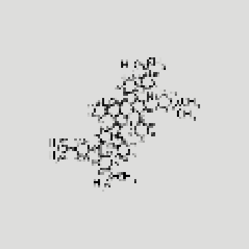 CC(C)c1ccc(N(c2ccc(C(C)C)cc2)c2ccc3c4c2-c2ccccc2C4C(C)c2c-3c(-c3ccccc3)c3c(c2-c2ccccc2)c2ccc(N(c4ccc(C(C)C)cc4)c4ccc(C(C)C)cc4)c4c5ccccc5n3c24)cc1